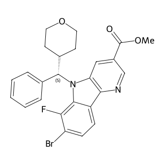 COC(=O)c1cnc2c3ccc(Br)c(F)c3n([C@H](c3ccccc3)C3CCOCC3)c2c1